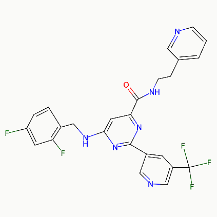 O=C(NCCc1cccnc1)c1cc(NCc2ccc(F)cc2F)nc(-c2cncc(C(F)(F)F)c2)n1